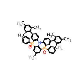 Cc1cc(C)c(-c2ccc3c(c2)P(=O)(c2ccccc2)c2cc(C)cc4c2N3c2ccc(-c3c(C)cc(C)cc3C)cc2P4(=O)c2ccccc2)c(C)c1